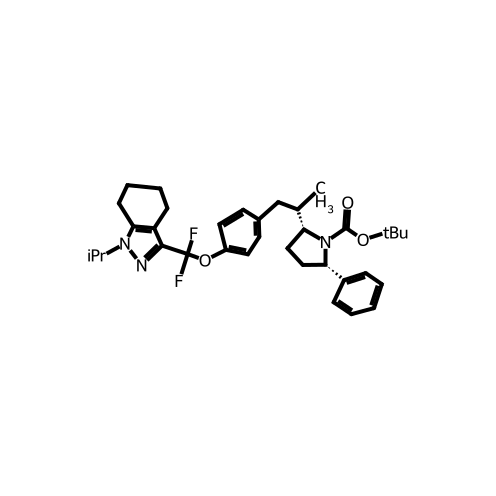 CC(Cc1ccc(OC(F)(F)c2nn(C(C)C)c3c2CCCC3)cc1)[C@H]1CC[C@@H](c2ccccc2)N1C(=O)OC(C)(C)C